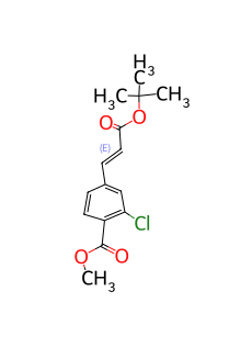 COC(=O)c1ccc(/C=C/C(=O)OC(C)(C)C)cc1Cl